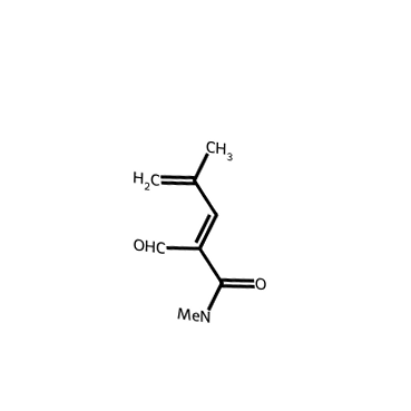 C=C(C)/C=C(\C=O)C(=O)NC